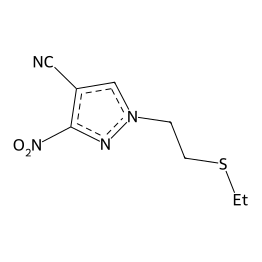 CCSCCn1cc(C#N)c([N+](=O)[O-])n1